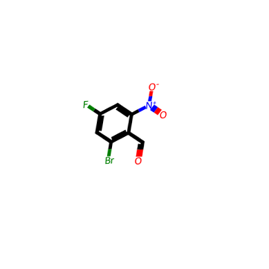 O=Cc1c(Br)cc(F)cc1[N+](=O)[O-]